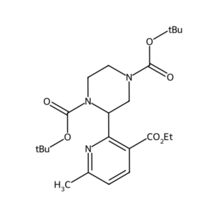 CCOC(=O)c1ccc(C)nc1C1CN(C(=O)OC(C)(C)C)CCN1C(=O)OC(C)(C)C